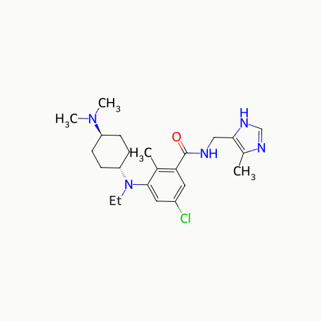 CCN(c1cc(Cl)cc(C(=O)NCc2[nH]cnc2C)c1C)[C@H]1CC[C@H](N(C)C)CC1